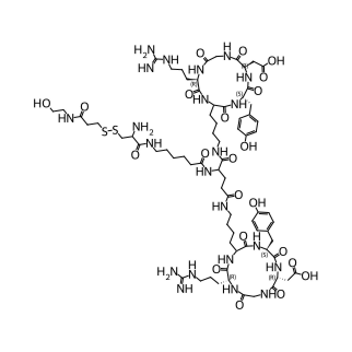 N=C(N)NCCC[C@H]1NC(=O)CNC(=O)[C@@H](CC(=O)O)NC(=O)[C@H](Cc2ccc(O)cc2)NC(=O)C(CCCCNC(=O)CCC(NC(=O)CCCCCNC(=O)C(N)CSSCCC(=O)NCCO)C(=O)NCCCCC2NC(=O)[C@@H](CCCNC(=N)N)NC(=O)CNC(=O)[C@@H](CC(=O)O)NC(=O)[C@H](Cc3ccc(O)cc3)NC2=O)NC1=O